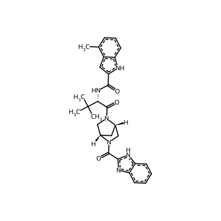 Cc1cccc2[nH]c(C(=O)N[C@H](C(=O)N3C[C@@H]4C[C@H]3CN4C(=O)c3nc4ccccc4[nH]3)C(C)(C)C)cc12